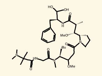 CCC(C)[C@@H](C(CC(=O)N1CCC[C@H]1[C@H](OC)[C@@H](C)C(=O)N[C@@H](Cc1ccccc1)C(O)O)OC)N(C)C(=O)CNC(=O)C(C)(C)N(C)C